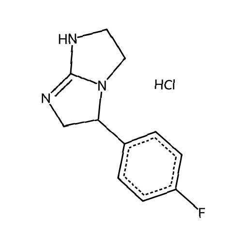 Cl.Fc1ccc(C2CN=C3NCCN32)cc1